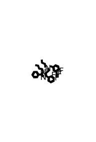 CCCCN(Cc1ccc(F)c(C(F)(F)F)c1)Cc1c(-c2ccccc2)nc(-c2ccccc2)n1CCCC